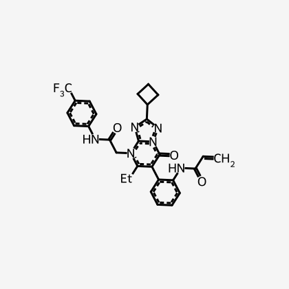 C=CC(=O)Nc1ccccc1-c1c(CC)n(CC(=O)Nc2ccc(C(F)(F)F)cc2)c2nc(C3CCC3)nn2c1=O